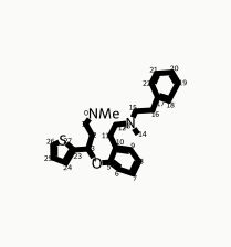 CNCCC(Oc1ccccc1CCN(C)CCc1ccccc1)c1cccs1